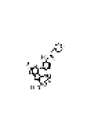 CSc1nc(-c2cccc(NC(=O)CN3CCOCC3)c2)c2c(NC(C)(C)C)c(C(N)=O)sc2n1